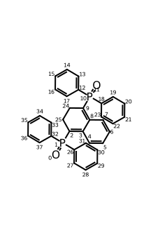 O=P(C1=c2ccccc2=C(P(=O)(c2ccccc2)c2ccccc2)CC1)(c1ccccc1)c1ccccc1